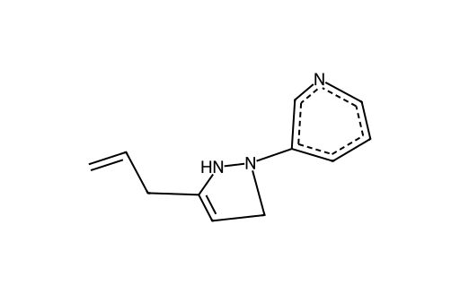 C=CCC1=CCN(c2cccnc2)N1